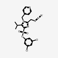 CC(C)c1c(S(=O)(=O)Oc2cc(Cl)cc(Cl)c2)nc(CN=[N+]=[N-])n1Cc1ccncc1